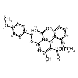 COc1ccc(CSC2=NC(C)=C(C(=O)O)C(c3ccccc3OC)N2C(=O)O)cc1